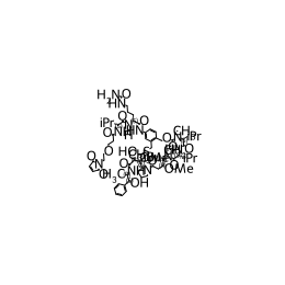 CC[C@H](C)[C@@H]([C@@H](CC(=O)N1CCC[C@H]1[C@H](OC)[C@@H](C)C(=O)N[C@H](C)[C@@H](O)c1ccccc1)OC)N(C)C(=O)[C@@H](NC(=O)[C@H](C(C)C)N(C)C(=O)OCc1ccc(NC(=O)[C@H](CCCNC(N)=O)NC(=O)[C@@H](NC(=O)CCOCCN2C(=O)C=CC2=O)C(C)C)cc1CS(=O)(=O)O)C(C)C